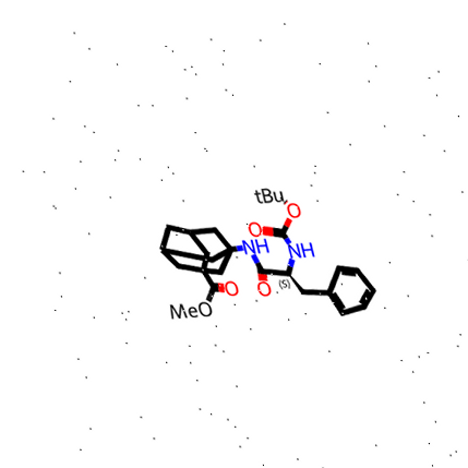 COC(=O)C12CC3CC(CC(NC(=O)[C@H](Cc4ccccc4)NC(=O)OC(C)(C)C)(C3)C1)C2